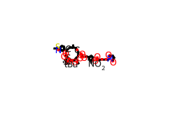 C=CC[C@H]1C(=O)C(C)(C)[C@@H](O[Si](C)(C)C(C)(C)C)CC(=O)O[C@H](c2ccc3sc(C)nc3c2)CC=C(C)CCC[C@H](C)[C@@H]1OC(=O)OCc1ccc(OC(=O)CCCCCN2C(=O)C=CC2=O)c([N+](=O)[O-])c1